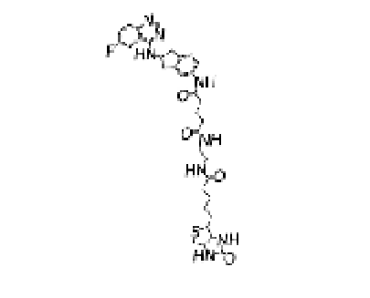 O=C(CCCCC1SCC2NC(=O)NC21)NCCNC(=O)CCCC(=O)Nc1ccc2c(c1)CC(Nc1ncnc3ccc(F)cc13)C2